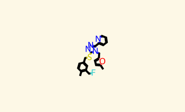 Cc1ccc(Cn2c(SCc3ccc(C)c(CF)c3)nnc2-c2ccccn2)o1